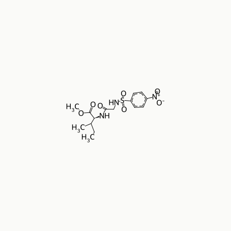 CCC(C)[C@H](NC(=O)CNS(=O)(=O)c1ccc([N+](=O)[O-])cc1)C(=O)OC